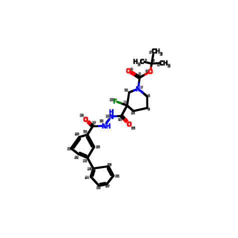 CC(C)(C)OC(=O)N1CCCC(F)(C(=O)NNC(=O)c2cccc(-c3ccccc3)c2)C1